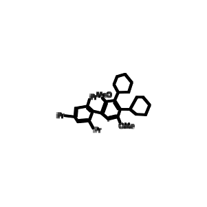 COc1[c]c(-c2c(C(C)C)cc(C(C)C)cc2C(C)C)c(OC)c(C2CCCCC2)c1C1CCCCC1